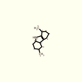 CC1CCC2NC3=C(CCCC3C)C2C1